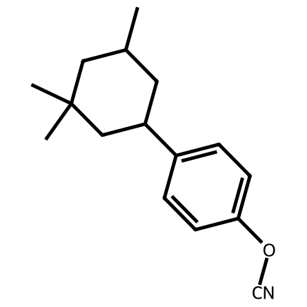 CC1CC(c2ccc(OC#N)cc2)CC(C)(C)C1